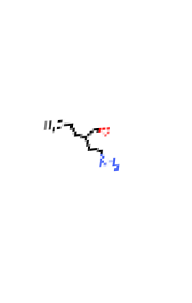 CCCC(C=O)CCN